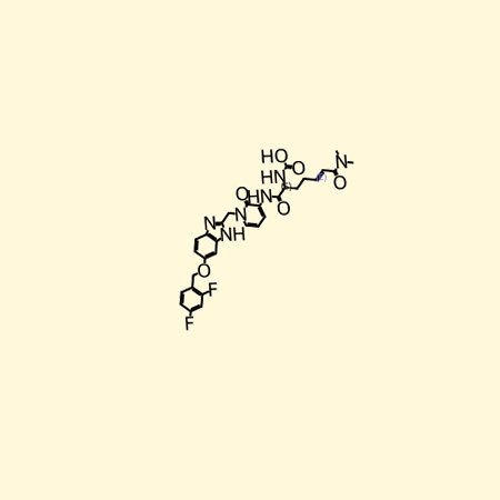 CN(C)C(=O)/C=C/CC[C@H](NC(=O)O)C(=O)Nc1cccn(Cc2nc3ccc(OCc4ccc(F)cc4F)cc3[nH]2)c1=O